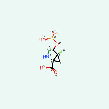 O=C(O)[C@]1(NCl)C[C@@]1(F)COP(O)O